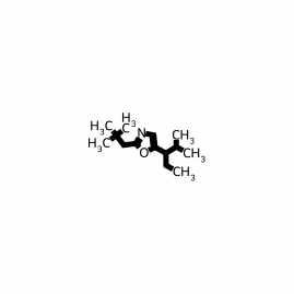 CCC(c1cnc(CC(C)(C)C)o1)C(C)C